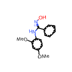 COc1ccc(N/C(=N/O)c2ccccc2)c(OC)c1